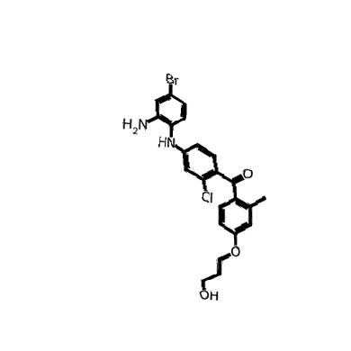 Cc1cc(OCCCO)ccc1C(=O)c1ccc(Nc2ccc(Br)cc2N)cc1Cl